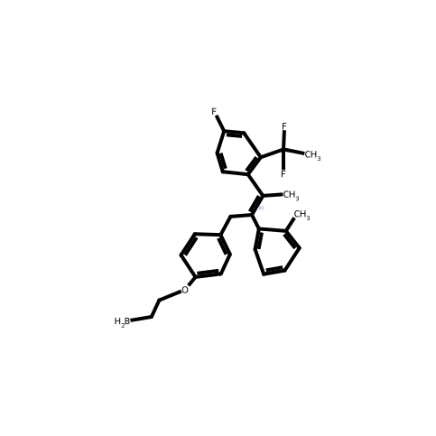 BCCOc1ccc(C/C(=C(/C)c2ccc(F)cc2C(C)(F)F)c2ccccc2C)cc1